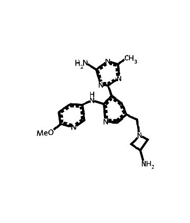 COc1ccc(Nc2ncc(CN3CC(N)C3)cc2-c2nc(C)nc(N)n2)cn1